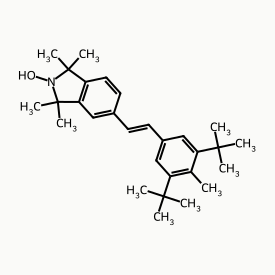 Cc1c(C(C)(C)C)cc(/C=C/c2ccc3c(c2)C(C)(C)N(O)C3(C)C)cc1C(C)(C)C